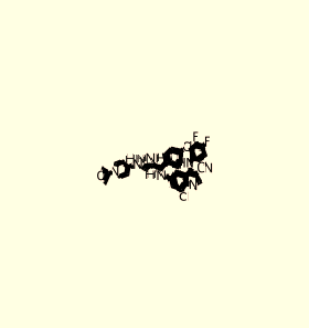 N#Cc1cnc2c(Cl)cc(N[C@H](C3=CN(C4CCN(C5COC5)CC4)NN3)c3ccc(Cl)cc3)cc2c1Nc1ccc(F)c(F)c1